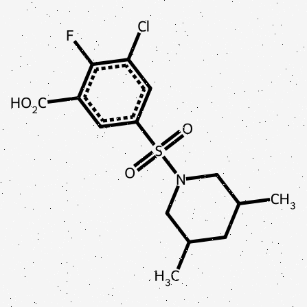 CC1CC(C)CN(S(=O)(=O)c2cc(Cl)c(F)c(C(=O)O)c2)C1